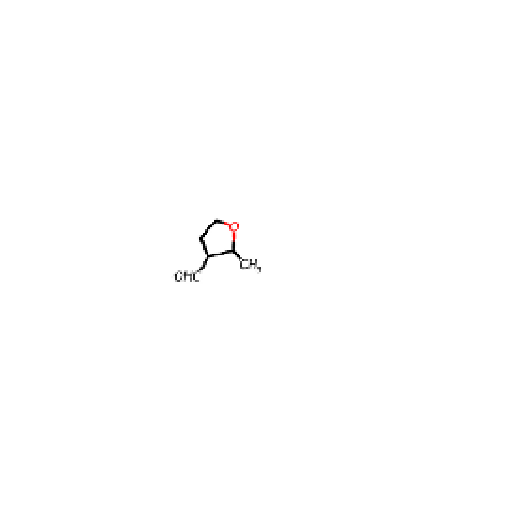 CC1OCCC1[C]=O